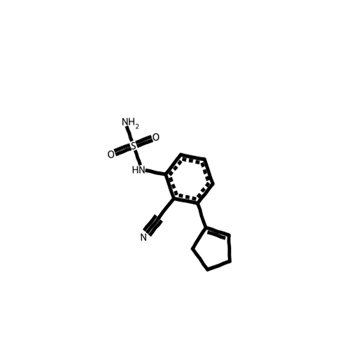 N#Cc1c(NS(N)(=O)=O)cccc1C1=CCCC1